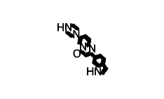 O=c1cc(-c2ccc3cc[nH]c3c2)nc2ccc(N3CCNCC3)cn12